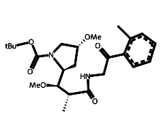 CO[C@@H]1C[C@@H]([C@H](OC)[C@@H](C)C(=O)NCC(=O)c2ccccc2C)N(C(=O)OC(C)(C)C)C1